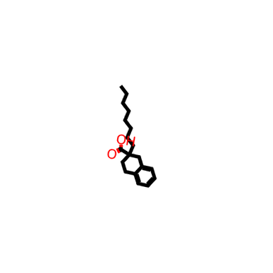 CCCCCCCCC1(C(=O)O)CCc2ccccc2C1